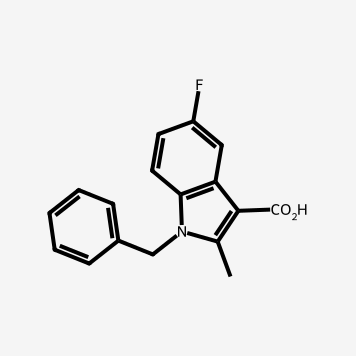 Cc1c(C(=O)O)c2cc(F)ccc2n1Cc1ccccc1